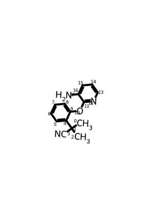 CC(C)(C#N)c1ccccc1Oc1ncccc1N